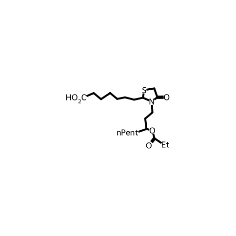 CCCCCC(CCN1C(=O)CSC1CCCCCCC(=O)O)OC(=O)CC